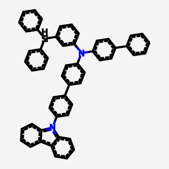 c1ccc(-c2ccc(N(c3ccc(-c4ccc(-n5c6ccccc6c6ccccc65)cc4)cc3)c3cccc([SiH](c4ccccc4)c4ccccc4)c3)cc2)cc1